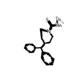 CNC(=S)N1CCC(=C(c2ccccc2)c2ccccc2)CC1